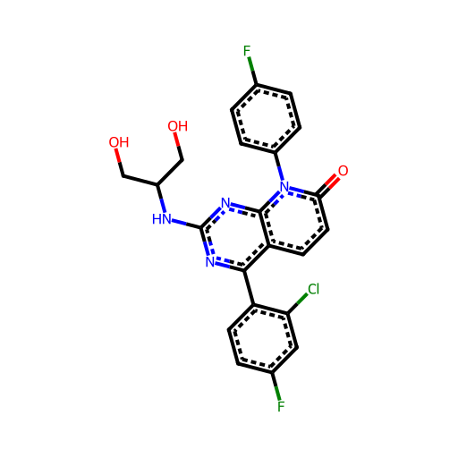 O=c1ccc2c(-c3ccc(F)cc3Cl)nc(NC(CO)CO)nc2n1-c1ccc(F)cc1